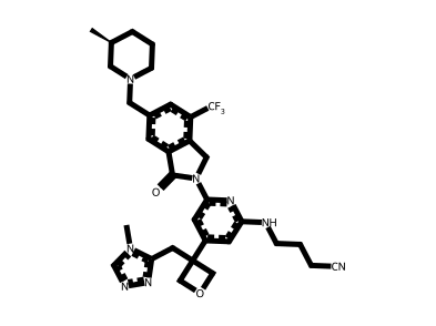 C[C@H]1CCCN(Cc2cc3c(c(C(F)(F)F)c2)CN(c2cc(C4(Cc5nncn5C)COC4)cc(NCCCC#N)n2)C3=O)C1